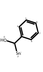 O[CH]([Sn])c1ccccc1